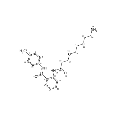 Cc1cnc(NC(=O)c2ccccc2NC(=O)CCOCCOCCN)cn1